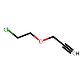 C#CCOCCCl